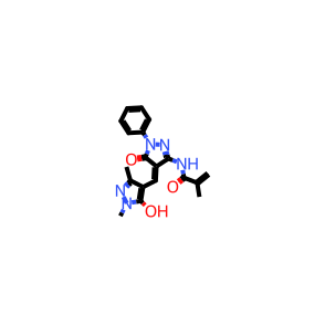 C=C(C)C(=O)NC1=NN(c2ccccc2)C(=O)C1=Cc1c(C)nn(C)c1O